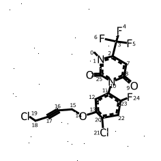 Cn1c(C(F)(F)F)cc(=O)n(-c2cc(OCC#CCCl)c(Cl)cc2F)c1=O